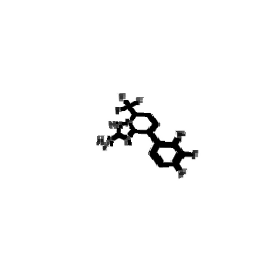 NC1N=C2C(c3ccc(F)c(F)c3F)CCC(C(F)(F)F)N2N1